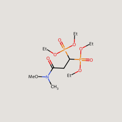 CCOP(=O)(OCC)C(CC(=O)N(C)OC)P(=O)(OCC)OCC